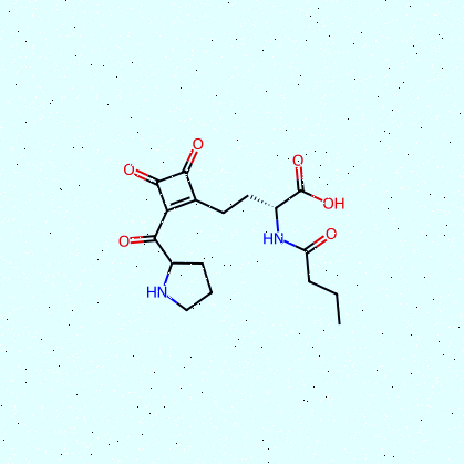 CCCC(=O)N[C@H](CCc1c(C(=O)C2CCCN2)c(=O)c1=O)C(=O)O